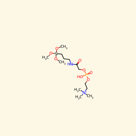 CO[Si](CCCNC(=O)COP(=O)(O)OCC[N+](C)(C)C)(OC)OC